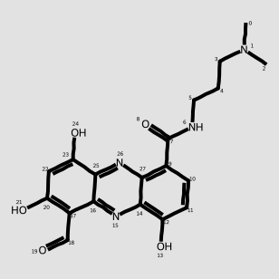 CN(C)CCCNC(=O)c1ccc(O)c2nc3c(C=O)c(O)cc(O)c3nc12